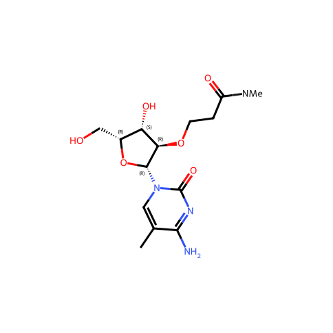 CNC(=O)CCO[C@@H]1[C@@H](O)[C@@H](CO)O[C@H]1n1cc(C)c(N)nc1=O